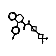 O=C(NC12CC(N3CC(F)(F)C3)(C1)C2)N1CCc2ccccc2[C@@H]1c1ccc(F)cc1